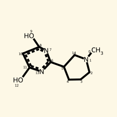 CN1CCCC(c2nc(O)cc(O)n2)C1